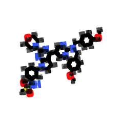 COc1ccc(CN(Cc2ccc(OC)cc2)c2ncc(-c3nc(N4CCOCC4)nc4c3CCN4c3cccc(NS(C)(=O)=O)c3)cn2)cc1